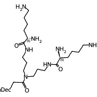 CCCCCCCCCCCC(=O)N(CCCNC(=O)[C@@H](N)CCCCN)CCCNC(=O)[C@@H](N)CCCCN